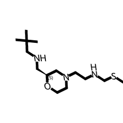 CSCNCCN1CCO[C@@H](CNCC(C)(C)C)C1